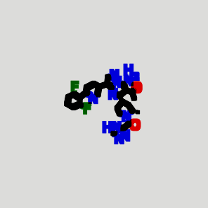 CC(=O)c1c([C@@H]2CCN(C(=O)c3nnc[nH]3)[C@@H](C)C2)nc2c(-c3ccc(-c4c(F)cccc4F)nc3)cnn2c1N